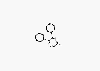 Clc1cnc(-c2ccccc2)c(-c2ccccc2)n1